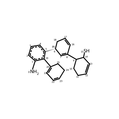 Nc1cccc([C@H]2C=C(C3CCC=CC3S)C=CC2)c1C1=CC=CCC1